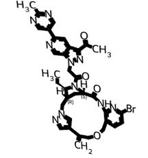 C=C1COCc2ccc(Br)nc2NC(=O)[C@@H]2C[C@H](Cn3cc1cn3)[C@@H](CC)N2C(=O)Cn1nc(C(C)=O)c2cc(-c3cnc(C)nc3)ncc21